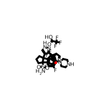 NS(=O)(=O)C1(c2cc(F)ccc2F)CCCC1(c1c[nH]nc1-c1ccncc1)c1c(F)cc(N2CCNCC2)cc1F.O=C(O)C(F)(F)F